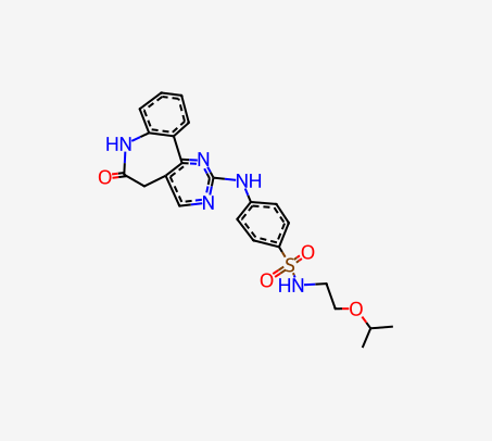 CC(C)OCCNS(=O)(=O)c1ccc(Nc2ncc3c(n2)-c2ccccc2NC(=O)C3)cc1